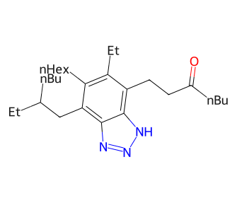 CCCCCCc1c(CC)c(CCC(=O)CCCC)c2[nH]nnc2c1CC(CC)CCCC